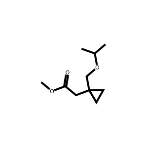 COC(=O)CC1(COC(C)C)CC1